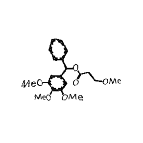 COCCC(=O)OC(c1ccccc1)c1cc(OC)c(OC)c(OC)c1